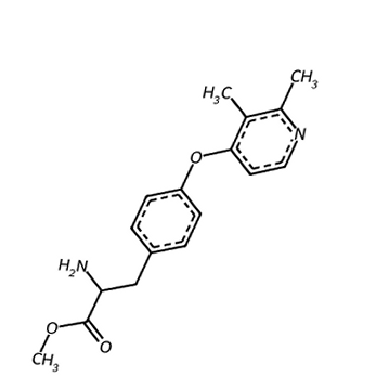 COC(=O)C(N)Cc1ccc(Oc2ccnc(C)c2C)cc1